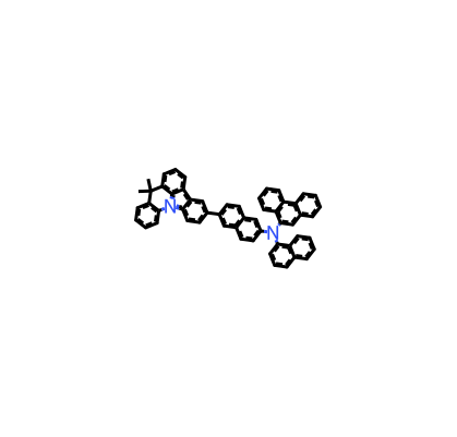 CC1(C)c2ccccc2-n2c3ccc(-c4ccc5cc(N(c6cccc7ccccc67)c6cc7ccccc7c7ccccc67)ccc5c4)cc3c3cccc1c32